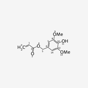 C=CC(=O)OCc1cc(OC)c(O)c(OC)c1